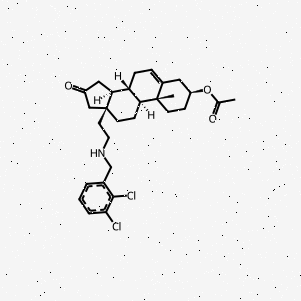 CC(=O)O[C@H]1CC[C@@]2(C)C(=CC[C@H]3[C@@H]4CC(=O)C[C@@]4(CCNCc4cccc(Cl)c4Cl)CC[C@@H]32)C1